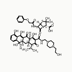 CC1(C)S[C@@H]2[C@H](NC(=O)COc3ccccc3)C(=O)N2[C@H]1C(=O)O.CN(C)[C@@H]1C(=O)C(C(=O)NCN2CCN(CCO)CC2)=C(O)[C@@]2(O)C(=O)C3=C(O)c4c(O)cccc4[C@@](C)(O)[C@H]3C[C@@H]12